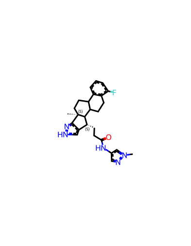 Cn1cc(NC(=O)CC[C@@H]2c3c[nH]nc3[C@@]3(C)CCC4c5cccc(F)c5CCC4C23)cn1